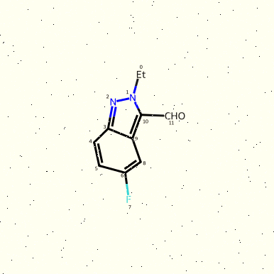 CCn1nc2ccc(F)cc2c1C=O